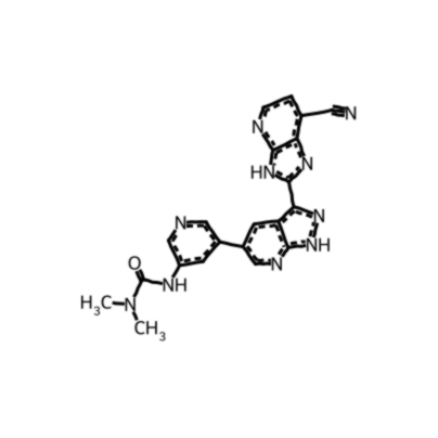 CN(C)C(=O)Nc1cncc(-c2cnc3[nH]nc(-c4nc5c(C#N)ccnc5[nH]4)c3c2)c1